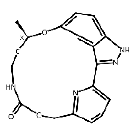 C[C@@H]1CCNC(=O)OCc2cccc(n2)-c2n[nH]c3ccc(cc23)O1